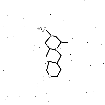 CC1CN(C(=O)O)CC(C)N1CC1CCOCC1